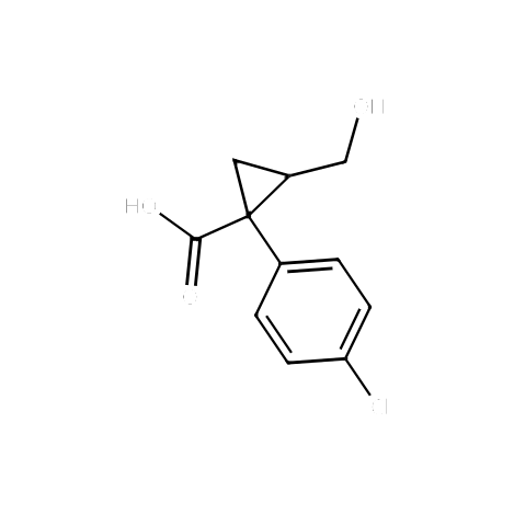 O=C(O)C1(c2ccc(Cl)cc2)CC1CO